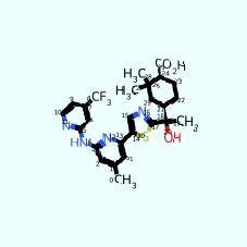 Cc1cc(Nc2cc(C(F)(F)F)ccn2)nc(-c2cnc(C(C)(O)[C@@H]3CC[C@H](C(=O)O)C(C)(C)C3)s2)c1